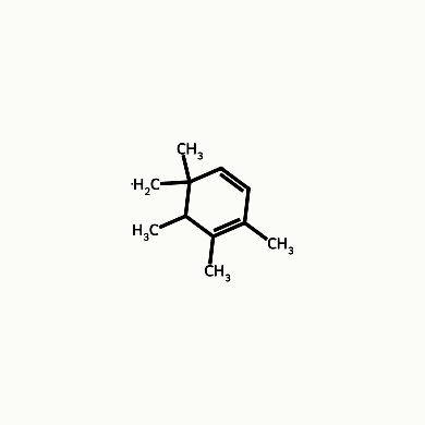 [CH2]C1(C)C=CC(C)=C(C)C1C